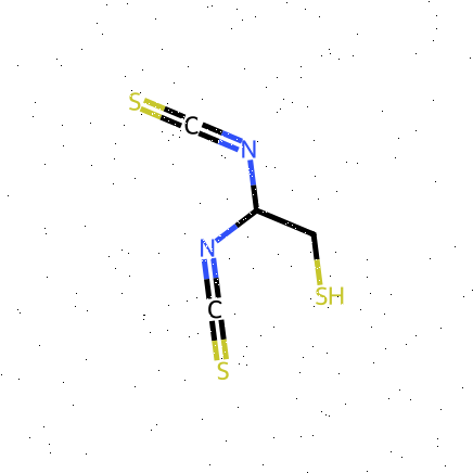 S=C=NC(CS)N=C=S